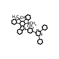 CC1(C)c2ccccc2-c2c1c1c(c3c2c2ccccc2n3-c2ccc(-c3cc(-c4ccccc4)nc(-c4ccccc4)n3)cc2)C(C)(C)c2ccccc2-1